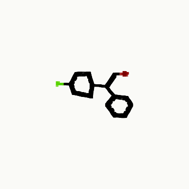 Fc1ccc(C(=CBr)c2ccccc2)cc1